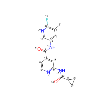 Cc1cc(NC(=O)c2ccnc(NC(=O)C3CC3)c2)cnc1F